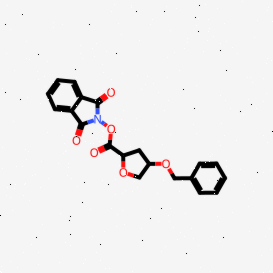 O=C(ON1C(=O)c2ccccc2C1=O)C1CC(OCc2ccccc2)CO1